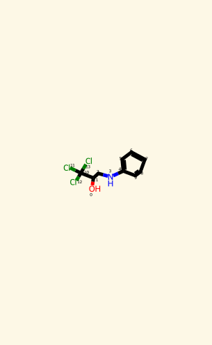 OC(CNc1ccccc1)C(Cl)(Cl)Cl